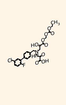 CCOC(=O)OCOC(=O)[C@H](O)CN(Cc1ccc(-c2cc(Cl)ccc2F)cc1)NC(=O)C(=O)O